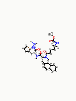 CN(C)NC(=O)[C@@H](Cc1cccs1)N(C)C(=O)[C@@H](Cc1ccc2ccccc2c1)N(C)C(=O)C=CCC(C)(C)NC(=O)OC(C)(C)C